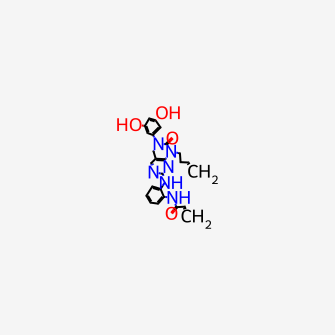 C=CCCN1C(=O)N(c2cc(O)cc(O)c2)Cc2cnc(Nc3ccccc3NC(=O)C=C)nc21